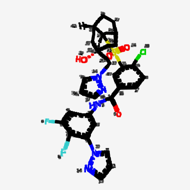 O=C(Nc1cc(F)c(F)c(-n2cccn2)c1)c1ccc(Cl)c(S(=O)(=O)[C@H]2C3CC[C@H]2C[C@](O)(Cn2cccn2)C3)c1